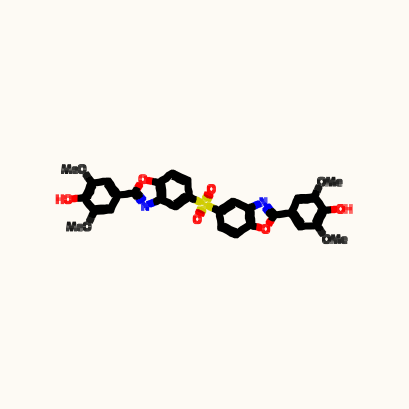 COc1cc(-c2nc3cc(S(=O)(=O)c4ccc5oc(-c6cc(OC)c(O)c(OC)c6)nc5c4)ccc3o2)cc(OC)c1O